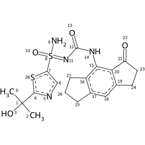 CC(C)(O)c1ncc(S(N)(=O)=NC(=O)Nc2c3c(cc4c2C(=O)CC4)CCC3)s1